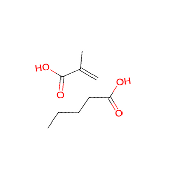 C=C(C)C(=O)O.CCCCC(=O)O